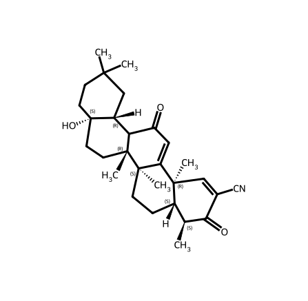 C[C@@H]1C(=O)C(C#N)=C[C@]2(C)C3=CC(=O)C4[C@H]5CC(C)(C)CC[C@]5(O)CC[C@@]4(C)[C@]3(C)CC[C@@H]12